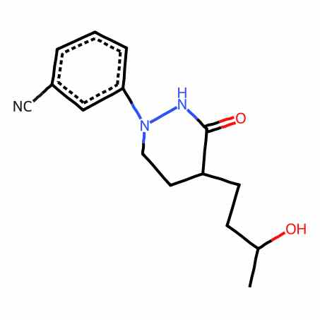 CC(O)CCC1CCN(c2cccc(C#N)c2)NC1=O